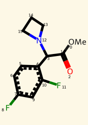 COC(=O)C(c1ccc(F)cc1F)N1CCC1